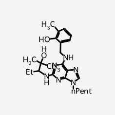 CCCCCn1cnc2c(NCc3cccc(C)c3O)nc(NC(CC)C(C)(C)O)nc21